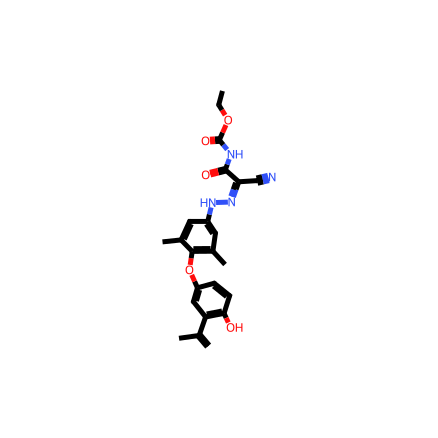 C=C(C)c1cc(Oc2c(C)cc(NN=C(C#N)C(=O)NC(=O)OCC)cc2C)ccc1O